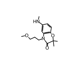 CNc1ccc2c(c1)N(CCCOC)C(=O)C(C)(C)O2